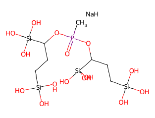 CP(=O)(OC(CC[Si](O)(O)O)[Si](O)(O)O)OC(CC[Si](O)(O)O)[Si](O)(O)O.[NaH]